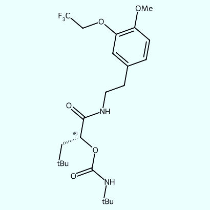 COc1ccc(CCNC(=O)[C@@H](CC(C)(C)C)OC(=O)NC(C)(C)C)cc1OCC(F)(F)F